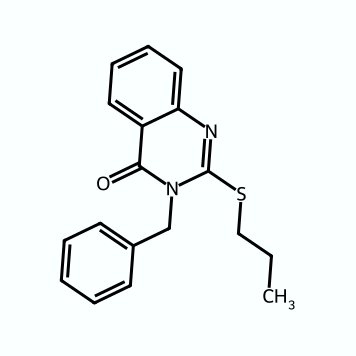 CCCSc1nc2ccccc2c(=O)n1Cc1ccccc1